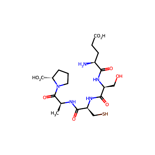 C[C@H](NC(=O)[C@H](CS)NC(=O)[C@H](CO)NC(=O)[C@@H](N)CCC(=O)O)C(=O)N1CCC[C@H]1C(=O)O